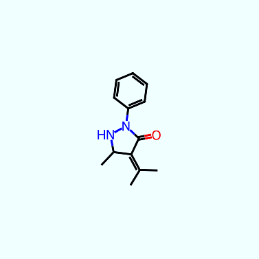 CC(C)=C1C(=O)N(c2ccccc2)NC1C